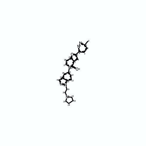 Cc1ccc(-c2cc3c(=O)n(-c4ccc5c(cnn5CCN5CCCC5)c4)ccc3o2)nn1